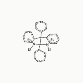 CCN(CC)C(c1ccccc1)(N(CC)CC)C(c1ccccc1)(c1ccccc1)c1ccccc1